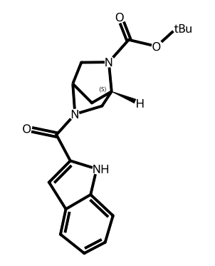 CC(C)(C)OC(=O)N1CC2C[C@H]1CN2C(=O)c1cc2ccccc2[nH]1